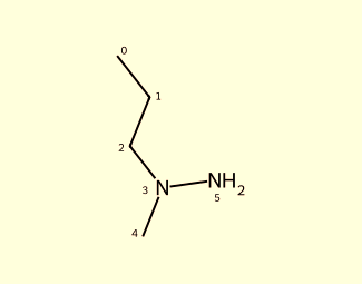 CCCN(C)N